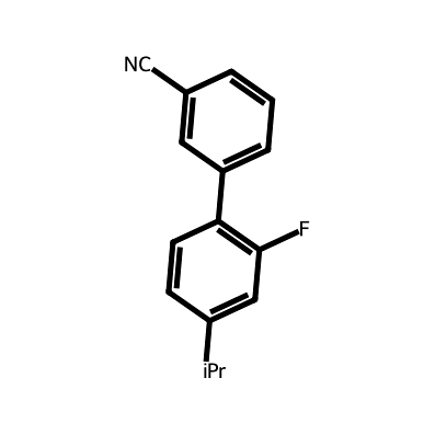 CC(C)c1ccc(-c2cccc(C#N)c2)c(F)c1